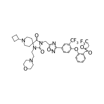 O=C1N(Cc2nc(-c3ccc(Oc4ccccc4S(=O)(=O)CC(F)(F)F)c(C(F)(F)F)c3)no2)C(=O)C2(CCN(C3CCC3)CC2)N1CCN1CCOCC1